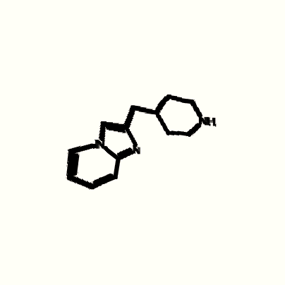 c1ccn2cc(CC3CCNCC3)nc2c1